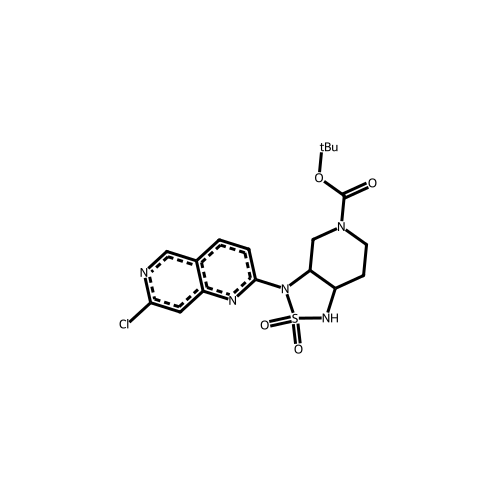 CC(C)(C)OC(=O)N1CCC2NS(=O)(=O)N(c3ccc4cnc(Cl)cc4n3)C2C1